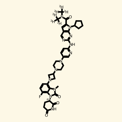 [2H]C([2H])([2H])N(C(=O)c1cc2cnc(Nc3ccc(N4CCN(C5CN(c6ccc(F)c7c6n(C)c(=O)n7[C@@H]6CCC(=O)NC6=O)C5)CC4)cn3)nc2n1C1CCCC1)C([2H])([2H])[2H]